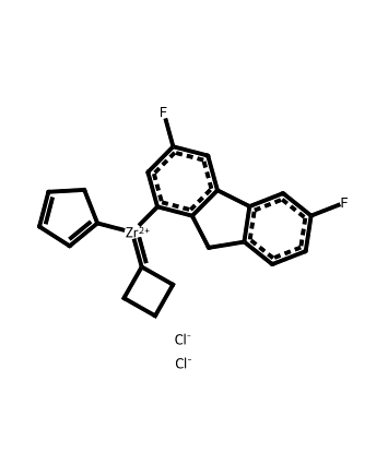 Fc1ccc2c(c1)-c1cc(F)c[c]([Zr+2]([C]3=CC=CC3)=[C]3CCC3)c1C2.[Cl-].[Cl-]